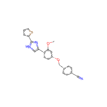 COc1cc(OCc2ccc(C#N)cc2)ccc1-c1c[nH]c(-c2cccs2)n1